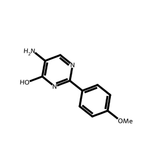 COc1ccc(-c2ncc(N)c(O)n2)cc1